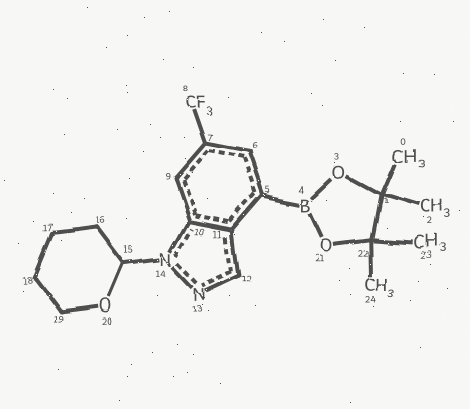 CC1(C)OB(c2cc(C(F)(F)F)cc3c2cnn3C2CCCCO2)OC1(C)C